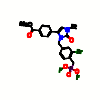 CCn1cc(-c2ccc(C(=O)OC)cc2)n(Cc2ccc(CP(=O)(OF)OF)c(Br)c2)c1=O